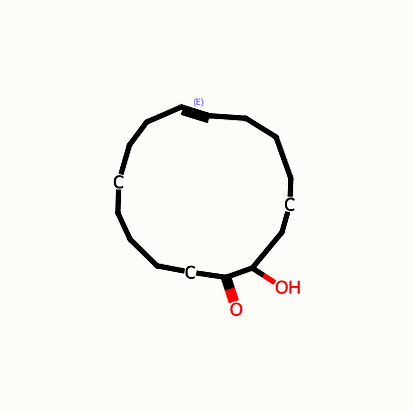 O=C1CCCCCCC/C=C/CCCCCC1O